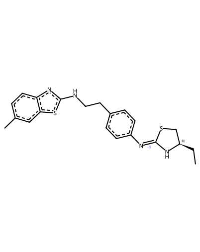 CC[C@@H]1CS/C(=N\c2ccc(CCNc3nc4ccc(C)cc4s3)cc2)N1